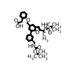 C[C@H](N[S@@+]([O-])C(C)(C)C)c1cc2cc(COc3ccccc3CC(=O)O)cc(-c3cccc(CNC(=O)OC(C)(C)C)c3)c2o1